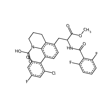 COC(=O)C(Cc1ccc(-c2c(Cl)cc(F)cc2Cl)c2c1CCCN2C(=O)O)NC(=O)c1c(F)cccc1F